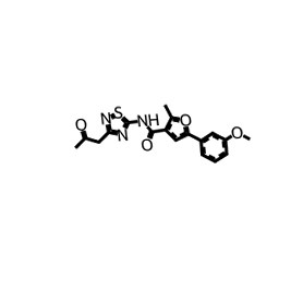 COc1cccc(-c2cc(C(=O)Nc3nc(CC(C)=O)ns3)c(C)o2)c1